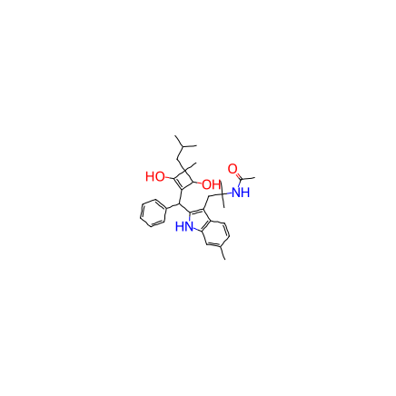 CC(=O)NC(C)(C)Cc1c(C(C2=C(O)C(C)(CC(C)C)C2O)c2ccccc2)[nH]c2cc(C)ccc12